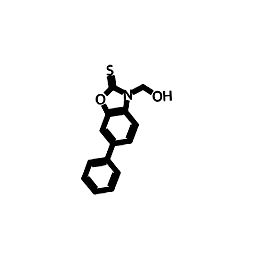 OCn1c(=S)oc2cc(-c3ccccc3)ccc21